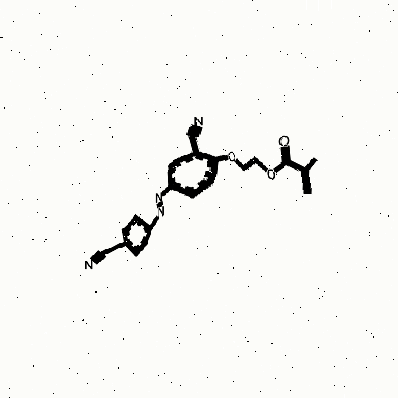 C=C(C)C(=O)OCCOc1ccc(/N=N/c2ccc(C#N)cc2)cc1C#N